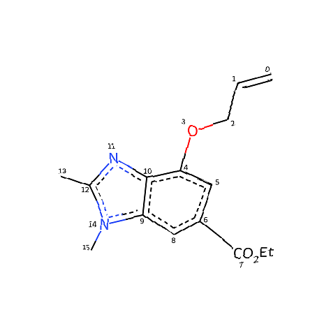 C=CCOc1cc(C(=O)OCC)cc2c1nc(C)n2C